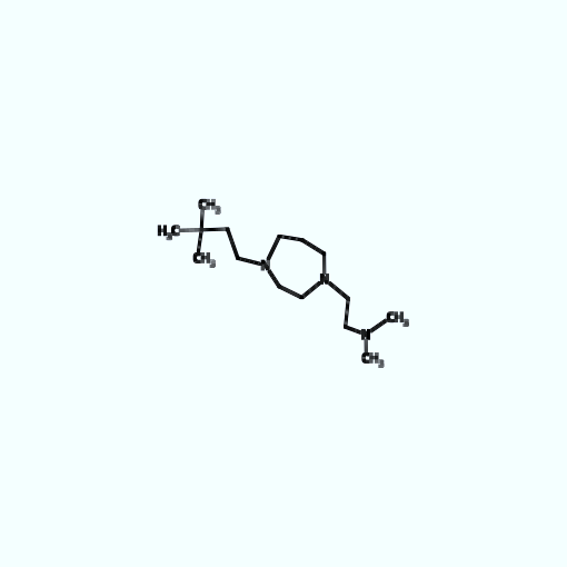 CN(C)CCN1CCCN(CCC(C)(C)C)CC1